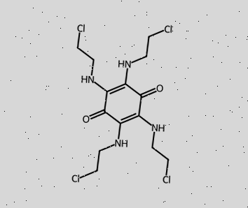 O=C1C(NCCCl)=C(NCCCl)C(=O)C(NCCCl)=C1NCCCl